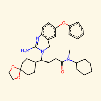 CN(C(=O)CC[C@@H](C1CCC2(CC1)OCCO2)N1Cc2cc(Oc3ccccc3)ccc2N=C1N)C1CCCCC1